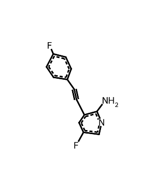 Nc1ncc(F)cc1C#Cc1ccc(F)cc1